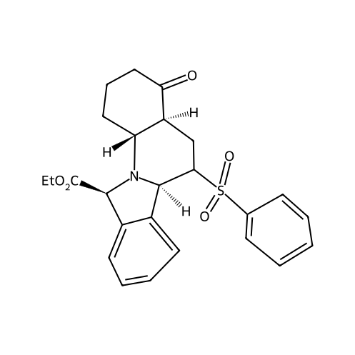 CCOC(=O)[C@@H]1c2ccccc2[C@@H]2C(S(=O)(=O)c3ccccc3)C[C@@H]3C(=O)CCC[C@H]3N12